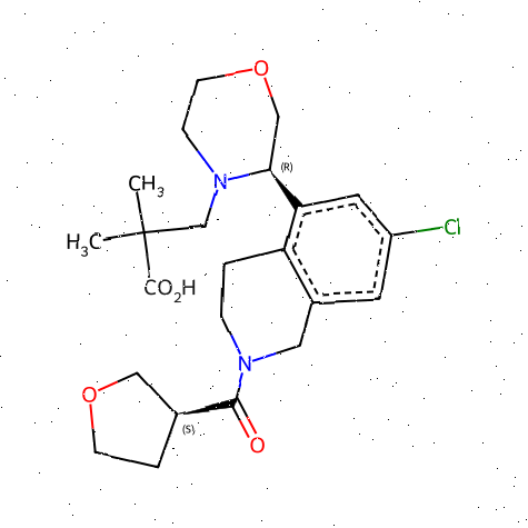 CC(C)(CN1CCOC[C@H]1c1cc(Cl)cc2c1CCN(C(=O)[C@H]1CCOC1)C2)C(=O)O